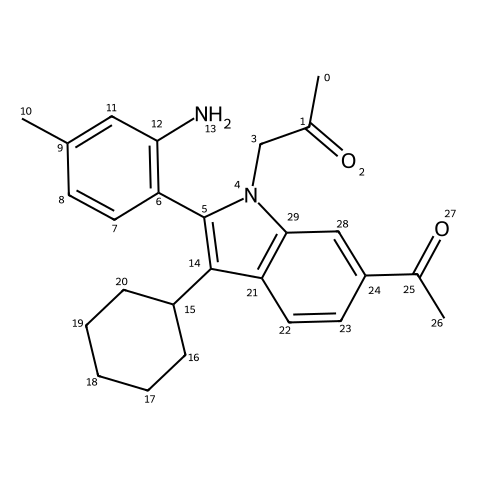 CC(=O)Cn1c(-c2ccc(C)cc2N)c(C2CCCCC2)c2ccc(C(C)=O)cc21